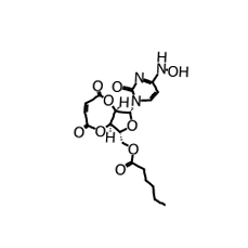 CCCCCC(=O)OC[C@H]1O[C@@H](n2ccc(NO)nc2=O)[C@@H]2OC(=O)/C=C\C(=O)O[C@@H]21